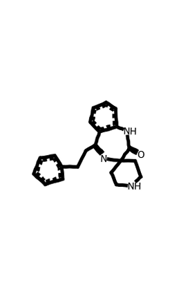 O=C1Nc2ccccc2C(CCc2ccccc2)=NC12CCNCC2